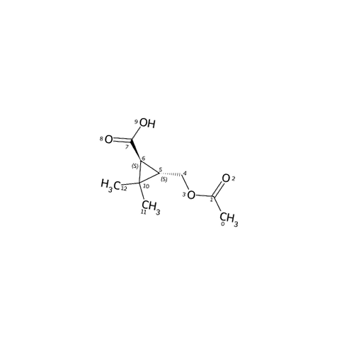 CC(=O)OC[C@H]1[C@H](C(=O)O)C1(C)C